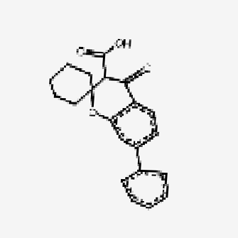 O=C(O)C1C(=O)c2ccc(-c3ccccc3)cc2OC12CCCCC2